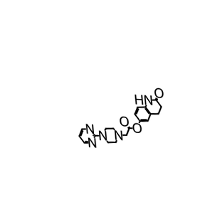 O=C1CCc2cc(OC(=O)CN3CCN(c4ncccn4)CC3)ccc2N1